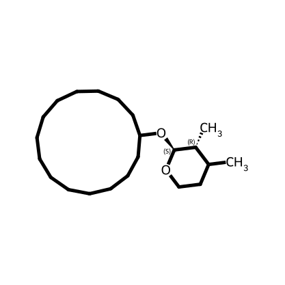 CC1CCO[C@@H](OC2CCCCCCCCCCCCCC2)[C@@H]1C